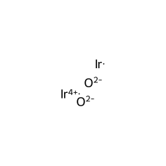 [Ir+4].[Ir].[O-2].[O-2]